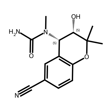 CN(C(N)=O)[C@H]1c2cc(C#N)ccc2OC(C)(C)[C@H]1O